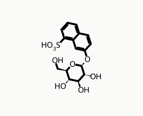 O=S(=O)(O)c1cccc2ccc(O[C@H]3O[C@H](CO)[C@@H](O)[C@H](O)[C@H]3O)cc12